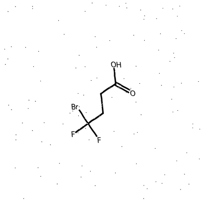 O=C(O)CCC(F)(F)Br